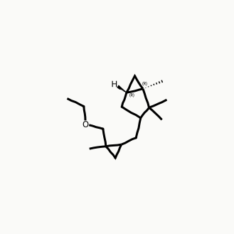 CCOCC1(C)CC1CC1C[C@@H]2C[C@@]2(C)C1(C)C